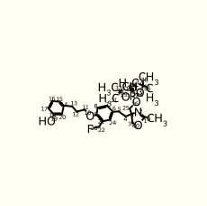 CC1=NC(CCc2ccc(OCCCc3cccc(O)c3)c(CF)c2)(COP(=O)(OC(C)(C)C)OC(C)(C)C)CO1